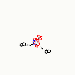 O=C(O)COC(C(=O)O)C(OCCCCCc1ccc2ccccc2c1)C(=O)NCCCCCc1ccc2ccccc2c1